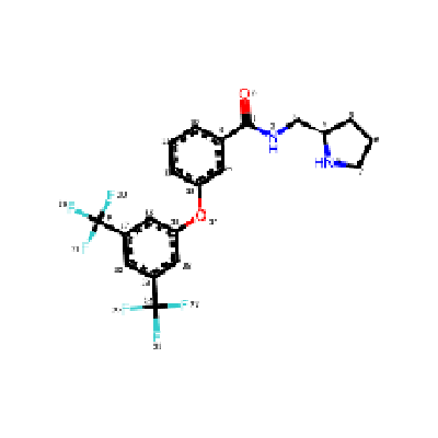 O=C(NC[C@H]1CCCN1)c1cccc(Oc2cc(C(F)(F)F)cc(C(F)(F)F)c2)c1